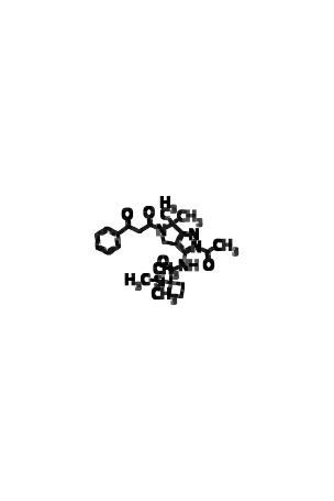 CC(=O)n1nc2c(c1NC(=O)C1([Si](C)(C)C)CCC1)CN(C(=O)CC(=O)c1ccccc1)C2(C)C